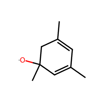 CC1=CC(C)([O])CC(C)=C1